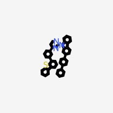 c1ccc(-c2ccc(-c3ccc4c5ccccc5n(-c5nccc(-c6cccc(-c7cccc8c7sc7ccccc78)c6)n5)c4c3)cc2)cc1